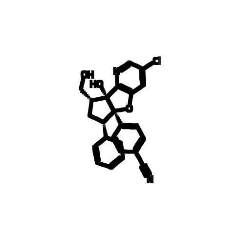 N#Cc1ccc([C@@]23Oc4cc(Cl)cnc4[C@]2(O)[C@@H](CO)C[C@H]3C2C=CC=CC2)cc1